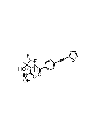 CC(O)(C(F)F)[C@H](NC(=O)c1ccc(C#Cc2cccs2)cc1)C(=O)NO